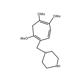 COC1=C(OC)CC(OC)=C(CN2CCNCC2)C=C1